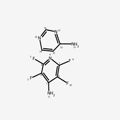 Nc1c(F)c(F)nc(F)c1F.Nc1ccncn1